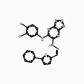 Clc1ccc(Nc2nc3nonc3nc2N/N=C\c2ccc(-c3ccccc3)o2)cc1Cl